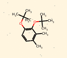 Cc1ccc(OC(C)(C)C)c(OC(C)(C)C)c1C